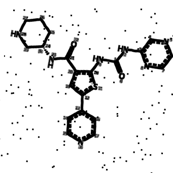 O=C(Nc1cnccn1)Nc1sc(-c2ccncc2)cc1C(=O)N[C@H]1CCCNC1